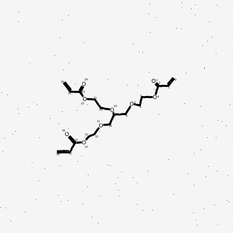 C=CC(=O)OCCOCC(COCCOC(=O)C=C)OCCOC(=O)C=C